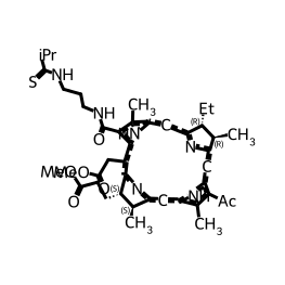 CC[C@H]1c2cc3[nH]c(c(CC(=O)OC)c4nc(cc5[nH]c(cc(n2)[C@@H]1C)c(C(C)=O)c5C)[C@@H](C)[C@@H]4CCC(=O)OC)c(C(=O)NCCCNC(=S)C(C)C)c3C